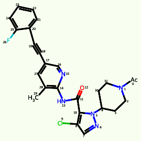 CC(=O)N1CCC(n2ncc(Cl)c2C(=O)Nc2ncc(C#Cc3ccccc3F)cc2C)CC1